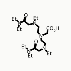 CCN(CCN(CCN(CC)CC(=O)N(CC)CC)CC(=O)O)CC(=O)N(CC)CC